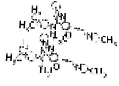 COc1cc2c(NC3CCN(C(C)C)CC3)nc(N3CCCCC3)nc2cc1C#CCCN1CCC(C)CC1.COc1cc2c(NC3CCN(C(C)C)CC3)nc(N3CCCCC3)nc2cc1C#CCCN1CCC(C)CC1